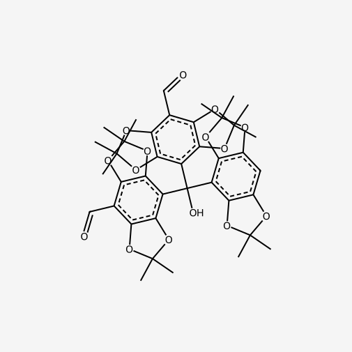 CC1(C)Oc2cc3c(c(C(O)(c4c5c(c(C=O)c6c4OC(C)(C)O6)OC(C)(C)O5)c4c5c(c(C=O)c6c4OC(C)(C)O6)OC(C)(C)O5)c2O1)OC(C)(C)O3